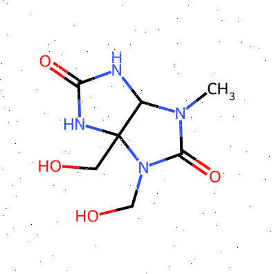 CN1C(=O)N(CO)C2(CO)NC(=O)NC12